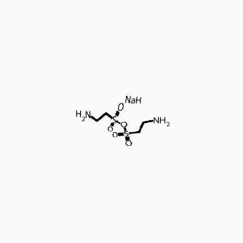 NCCS(=O)(=O)OS(=O)(=O)CCN.[NaH]